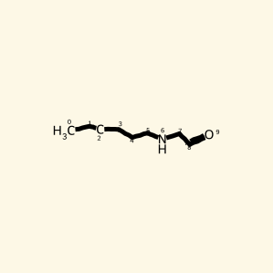 CCCCCCNC[C]=O